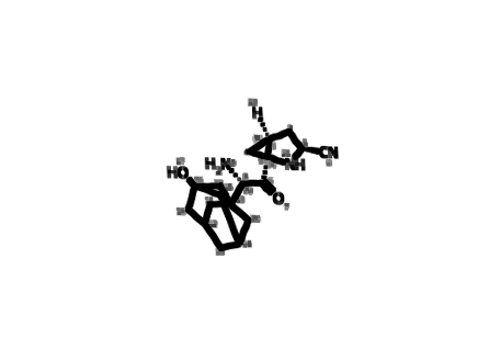 N#C[C@@H]1C[C@@H]2C[C@]2(C(=O)[C@@H](N)C23CC4CC(CC(O)(C4)C2)C3)N1